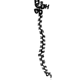 CCCCCCCCCCCCCCCCCCCCCCCCCCCCOC(=O)C(C)O